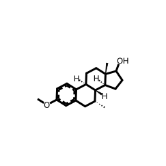 COc1ccc2c(c1)C[C@@H](C)[C@@H]1[C@@H]2CC[C@]2(C)C(O)CC[C@@H]12